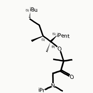 CCC[C@H](C)[C@@](C)(OC(C)(C)C(=O)CN(C)C(C)C)[C@@H](C)CC[C@@H](C)CC